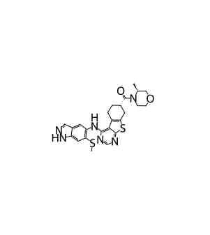 CSc1cc2[nH]ncc2cc1Nc1ncnc2sc3c(c12)CC[C@H](C(=O)N1CCOC[C@@H]1C)C3